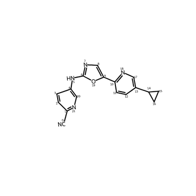 N#Cc1ccc(Nc2ncc(-c3ccc(C4CC4)cn3)o2)cn1